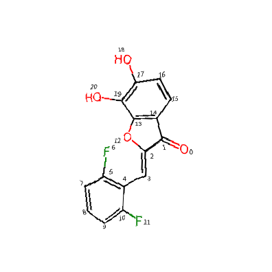 O=C1C(=Cc2c(F)cccc2F)Oc2c1ccc(O)c2O